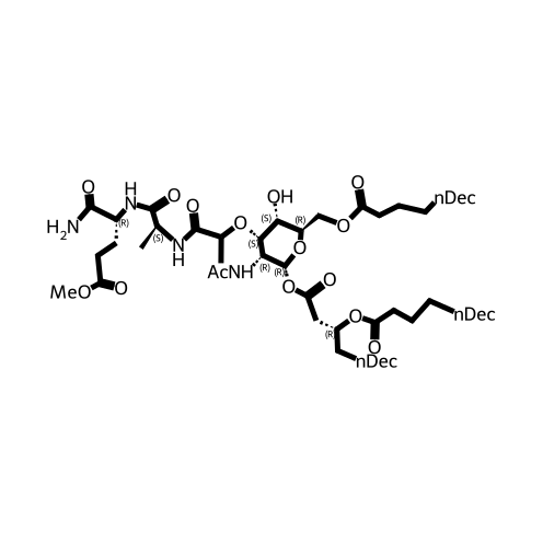 CCCCCCCCCCCCCC(=O)OC[C@H]1O[C@H](OC(=O)C[C@@H](CCCCCCCCCCC)OC(=O)CCCCCCCCCCCCC)[C@H](NC(C)=O)[C@H](OC(C)C(=O)N[C@@H](C)C(=O)N[C@H](CCC(=O)OC)C(N)=O)[C@@H]1O